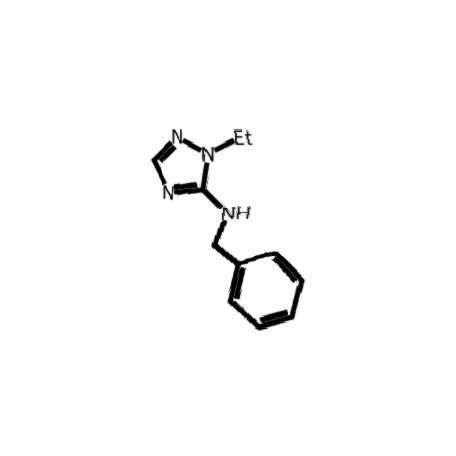 CCn1ncnc1NCc1ccccc1